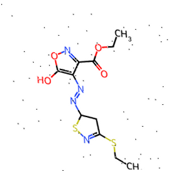 CCOC(=O)c1noc(O)c1N=NC1CC(SCC)=NS1